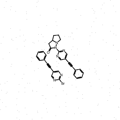 Brc1ncc(C#Cc2ccccc2)cn1.O=C1CC2CCCN2N1c1ncc(C#Cc2ccccc2)cn1